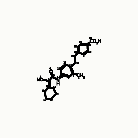 Cc1cc(NC(=O)C(C#N)=C2CCCCC2)ccc1CCc1ccc(C(=O)O)cc1